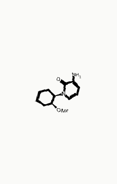 CO[C@H]1CCCC[C@H]1n1cccc(N)c1=O